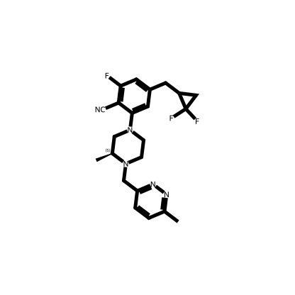 Cc1ccc(CN2CCN(c3cc(CC4CC4(F)F)cc(F)c3C#N)C[C@@H]2C)nn1